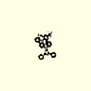 N#Cc1cc(C(F)(F)F)cc(C#N)c1-n1c2ccccc2c2ccc3c(c4ccccc4n3-c3nc(-c4ccccc4)nc(-c4ccccc4)n3)c21